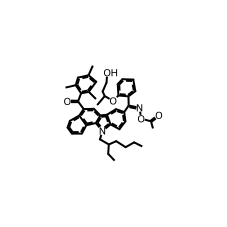 CCCCC(CC)Cn1c2ccc(/C(=N\OC(C)=O)c3ccccc3OC(C)CCO)cc2c2cc(C(=O)c3c(C)cc(C)cc3C)c3ccccc3c21